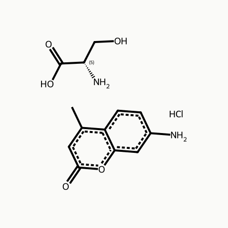 Cc1cc(=O)oc2cc(N)ccc12.Cl.N[C@@H](CO)C(=O)O